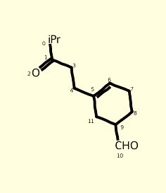 CC(C)C(=O)CCC1=CCCC(C=O)C1